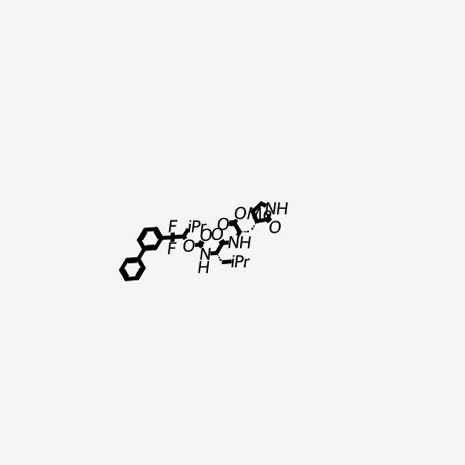 COC(=O)[C@H](C[C@@H]1CCNC1=O)NC(=O)[C@H](CC(C)C)NC(=O)OC(C(C)C)C(F)(F)c1cccc(-c2ccccc2)c1